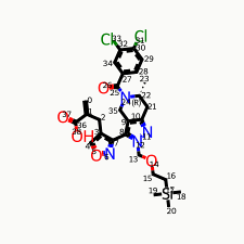 C=C(Cc1conc1-c1c2c(nn1COCC[Si](C)(C)C)C[C@@H](C)N(C(=O)c1ccc(Cl)c(Cl)c1)C2)C(=O)O